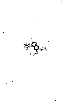 COc1cc2nccc(OS(=O)(=O)C(F)(F)F)c2cc1OC